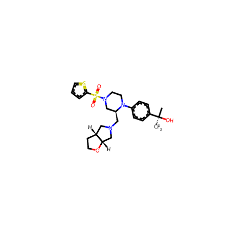 C[C@@](O)(c1ccc(N2CCN(S(=O)(=O)c3cccs3)C[C@@H]2CN2C[C@H]3CCO[C@H]3C2)cc1)C(F)(F)F